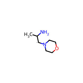 CC(N)[CH]N1CCOCC1